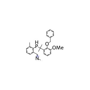 C/N=C/c1cccc(C)c1PC(C)(C)c1cccc(OC)c1OCc1ccccc1